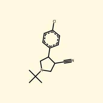 CC(C)(C)N1CC(C#N)C(c2ccc(Cl)cc2)C1